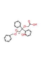 O=C(O)COC(c1ccccc1)(c1ccccc1)[C@H](O)C(=O)OCc1ccccc1